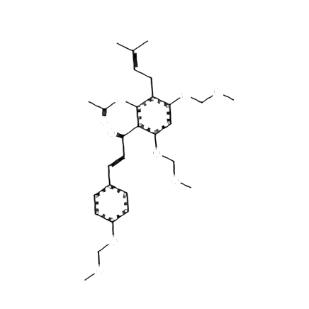 COCOc1ccc(/C=C/C(=O)c2c(OCOC)cc(OCOC)c(CC=C(C)C)c2OC(C)=O)cc1